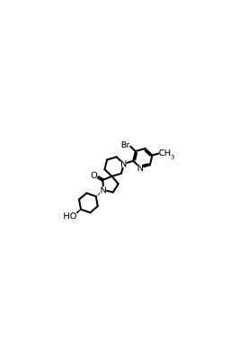 Cc1cnc(N2CCCC3(CCN([C@H]4CC[C@H](O)CC4)C3=O)C2)c(Br)c1